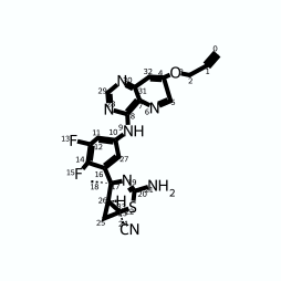 C#CCOc1cnc2c(Nc3cc(F)c(F)c([C@@]4(C)N=C(N)S[C@@]5(C#N)C[C@H]54)c3)ncnc2c1